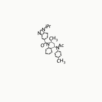 CC(=O)N(c1ccc(C)cc1)[C@@H]1C[C@H](C)N(C(=O)c2ccc3c(c2)ncn3C(C)C)c2ccccc21